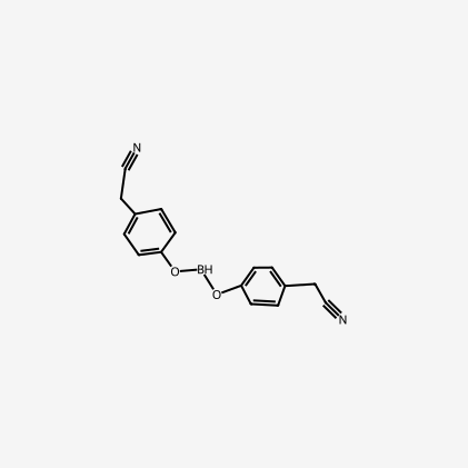 N#CCc1ccc(OBOc2ccc(CC#N)cc2)cc1